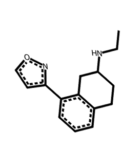 CCNC1CCc2cccc(-c3ccon3)c2C1